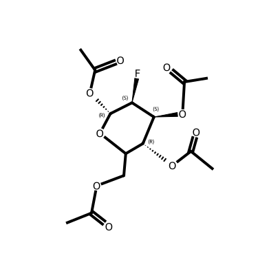 CC(=O)OCC1O[C@H](OC(C)=O)[C@@H](F)[C@@H](OC(C)=O)[C@@H]1OC(C)=O